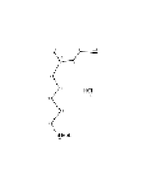 C=CCN(C)CCCCCCCCCCCC.Cl